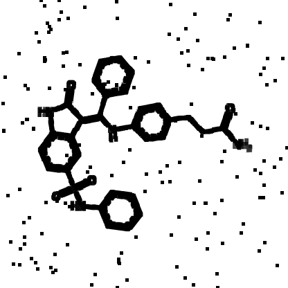 NC(=O)CCc1ccc(NC(=C2C(=O)Nc3ccc(S(=O)(=O)Nc4ccccc4)cc32)c2ccccc2)cc1